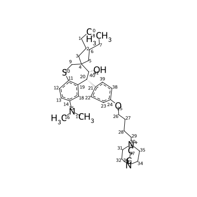 CCCCC1(CCCC)CSc2ccc(N(C)C)cc2[C@@H](c2ccc(OCCCC[N+]34CCN(CC3)CC4)cc2)[C@H]1O